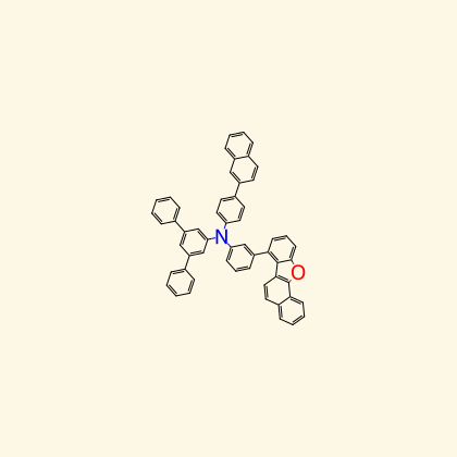 c1ccc(-c2cc(-c3ccccc3)cc(N(c3ccc(-c4ccc5ccccc5c4)cc3)c3cccc(-c4cccc5oc6c7ccccc7ccc6c45)c3)c2)cc1